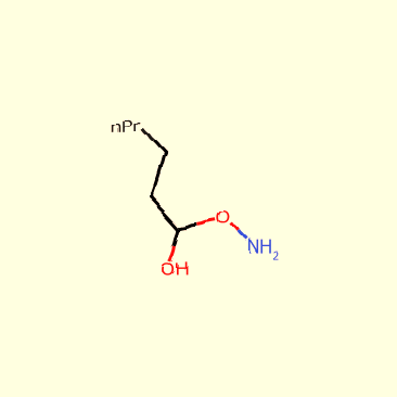 CCCCCC(O)ON